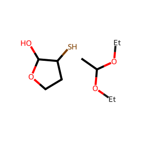 CCOC(C)OCC.OC1OCCC1S